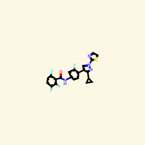 O=C(Nc1ccc(-c2cn(-c3nccs3)nc2C2CC2)c(F)c1)c1c(F)ccc(F)c1F